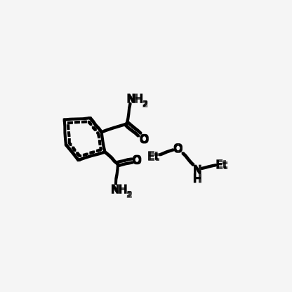 CCNOCC.NC(=O)c1ccccc1C(N)=O